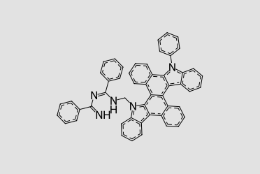 N=C(/N=C(\NCn1c2ccccc2c2c3ccccc3c3c(c4ccccc4c4c3c3ccccc3n4-c3ccccc3)c21)c1ccccc1)c1ccccc1